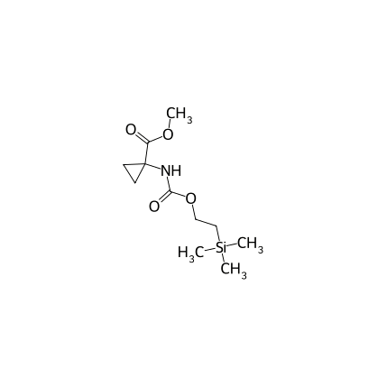 COC(=O)C1(NC(=O)OCC[Si](C)(C)C)CC1